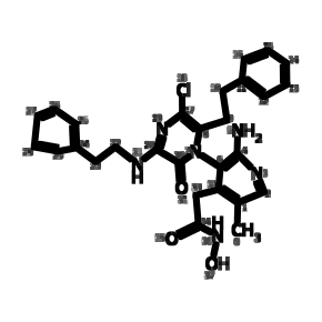 Cc1cnc(N)c(-n2c(CCc3ccccc3)c(Cl)nc(NCCc3ccccc3)c2=O)c1CC(=O)NO